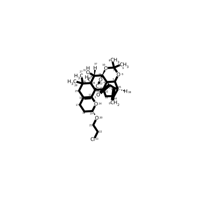 C=C1C(=O)[C@@]23C4OC(C)(C)O[C@]25OCC2(C6=C(CC[C@@H](OCCCl)O6)CC(C)(C)[C@H]2[C@@H]5O)C3CC[C@@H]14